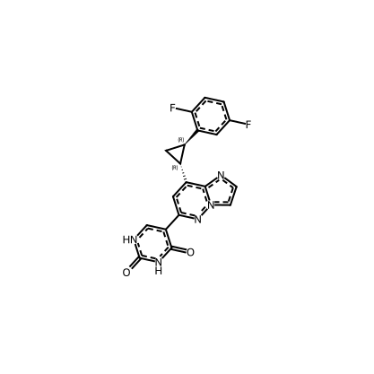 O=c1[nH]cc(-c2cc([C@@H]3C[C@H]3c3cc(F)ccc3F)c3nccn3n2)c(=O)[nH]1